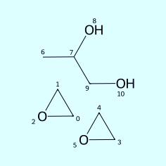 C1CO1.C1CO1.CC(O)CO